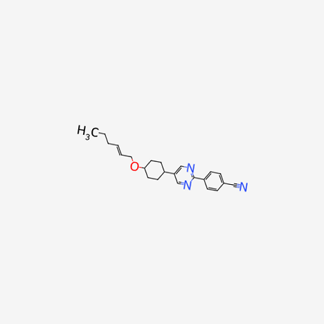 CCC/C=C/COC1CCC(c2cnc(-c3ccc(C#N)cc3)nc2)CC1